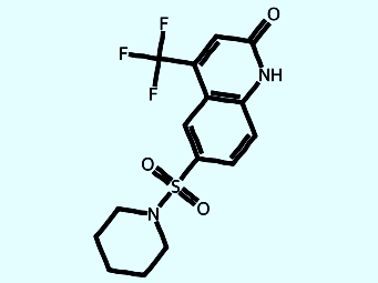 O=c1cc(C(F)(F)F)c2cc(S(=O)(=O)N3CCCCC3)ccc2[nH]1